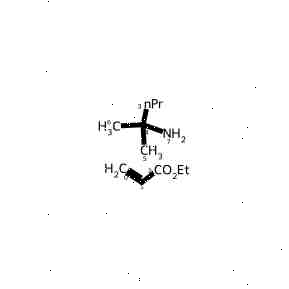 C=CC(=O)OCC.CCCC(C)(C)N